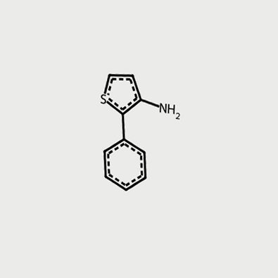 Nc1ccsc1-c1ccccc1